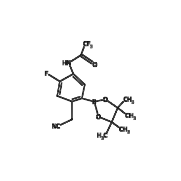 CC1(C)OB(c2cc(NC(=O)C(F)(F)F)c(F)cc2CC#N)OC1(C)C